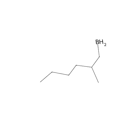 BCC(C)CCCC